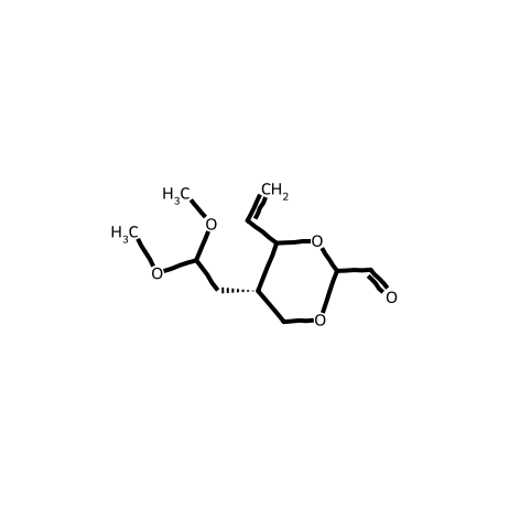 C=CC1OC(C=O)OC[C@@H]1CC(OC)OC